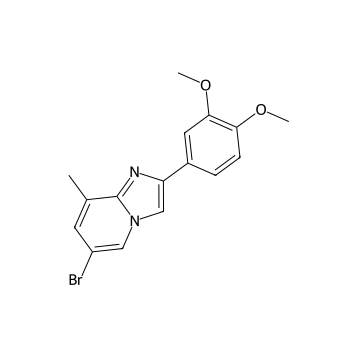 COc1ccc(-c2cn3cc(Br)cc(C)c3n2)cc1OC